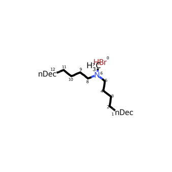 Br.CCCCCCCCCCCCCCN(C)CCCCCCCCCCCCCC